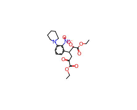 CCOC(=O)C(=O)CC(C(=O)C(=O)OCC)c1cccc(N2CCCCC2)c1[N+](=O)[O-]